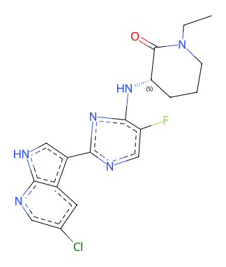 CCN1CCC[C@H](Nc2nc(-c3c[nH]c4ncc(Cl)cc34)ncc2F)C1=O